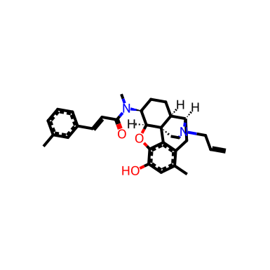 C=CCN1CC[C@]23c4c5c(C)cc(O)c4O[C@H]2[C@@H](N(C)C(=O)C=Cc2cccc(C)c2)CC[C@H]3[C@H]1C5